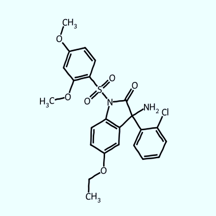 CCOc1ccc2c(c1)C(N)(c1ccccc1Cl)C(=O)N2S(=O)(=O)c1ccc(OC)cc1OC